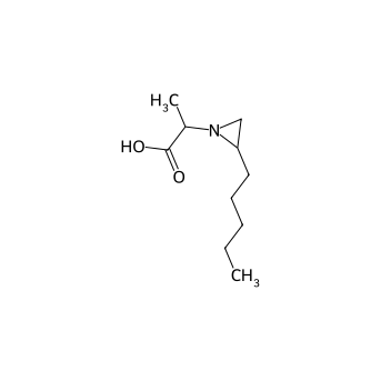 CCCCCC1CN1C(C)C(=O)O